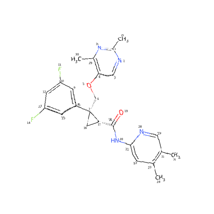 Cc1ncc(OC[C@@]2(c3cc(F)cc(F)c3)C[C@H]2C(=O)Nc2cc(C)c(C)cn2)c(C)n1